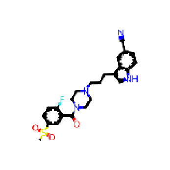 CS(=O)(=O)c1ccc(F)c(C(=O)N2CCN(CCCc3c[nH]c4ccc(C#N)cc34)CC2)c1